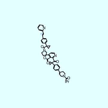 CC(C)C(=O)N1CC=C(c2ccc(C3(C(=O)c4nccc5c4C(=O)OC54CCN(C(=O)C5(c6ccc(/C=C/c7ccccn7)cc6)CC5)C4)CC3)cc2)CC1